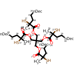 CCCCCCCCCCCCC(C)(S)C(=O)OCC(COC(=O)C(C)(S)CCCCCCCCCCCC)(COC(=O)C(C)(S)CCCCCCCCCCCC)COC(=O)C(C)(S)CCCCCCCCCCCC